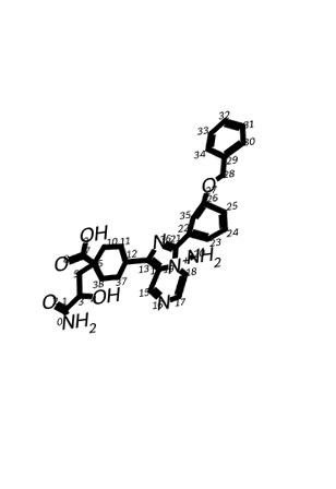 NC(=O)C(O)CC1(C(=O)O)CCC(C2=C3C=NC=C[N+]3(N)C(c3cccc(OCc4ccccc4)c3)=N2)CC1